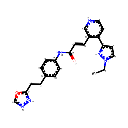 CC(C)Cn1ccc(-c2ccncc2C=CC(=O)Nc2ccc(CCc3nnco3)cc2)n1